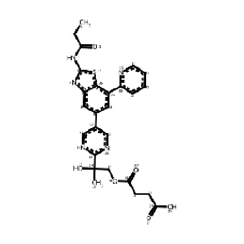 CCC(=O)Nc1nc2cc(-c3cnc(C(C)(O)COC(=O)CCC(=O)O)nc3)cc(-c3ccccn3)c2s1